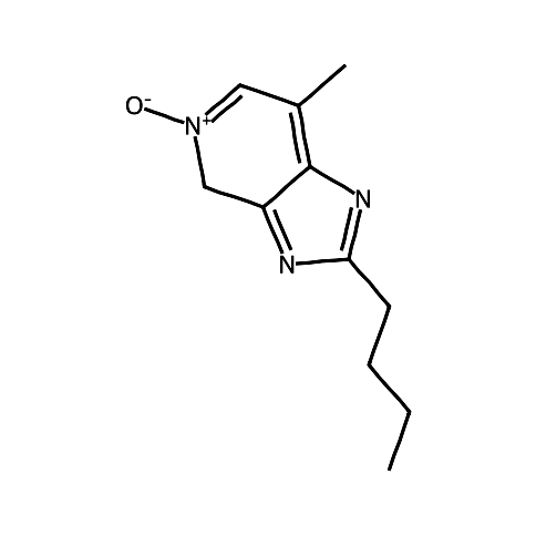 CCCCC1=NC2=C(C)C=[N+]([O-])CC2=N1